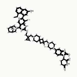 CCc1cccc2cc(O)cc(-c3ncc4c(N5CC6CCC(C5)N6)nc(OCC5(CN6CCC7(CC6)CC(F)(CN6CCN(c8ccc9c(c8)oc(=O)n9C8CCC(=O)NC8=O)CC6)C7)CC5)nc4c3F)c12